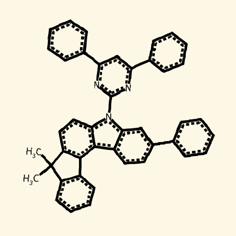 CC1(C)c2ccccc2-c2c1ccc1c2c2ccc(-c3ccccc3)cc2n1-c1nc(-c2ccccc2)cc(-c2ccccc2)n1